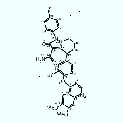 COc1cc2ncnc(Oc3ccc(C4CCCn5c4c(C(N)=O)c(=O)n5-c4ccc(F)cc4)cc3F)c2cc1OC